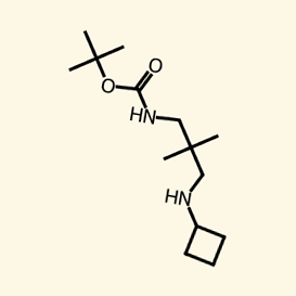 CC(C)(CNC(=O)OC(C)(C)C)CNC1CCC1